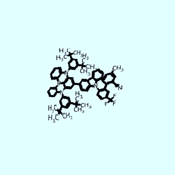 Cc1ccc(-c2cc(C(F)(F)F)ccc2-n2c3ccccc3c3cc(-c4cc5c6c(c4)N(c4cc(C(C)(C)C)cc(C(C)(C)C)c4)c4ccccc4B6c4ccccc4N5c4cc(C(C)(C)C)cc(C(C)(C)C)c4)ccc32)c(C#N)c1